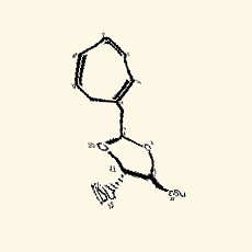 CC(C)(C)C1OC(c2ccccc2)O[C@H]1C(C)(C)C